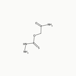 NNC(=S)OCC(N)=O